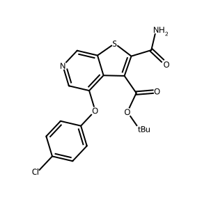 CC(C)(C)OC(=O)c1c(C(N)=O)sc2cncc(Oc3ccc(Cl)cc3)c12